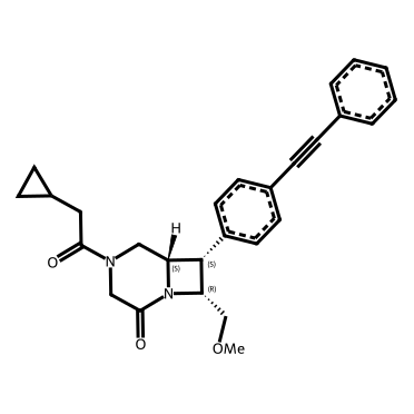 COC[C@H]1[C@@H](c2ccc(C#Cc3ccccc3)cc2)[C@H]2CN(C(=O)CC3CC3)CC(=O)N21